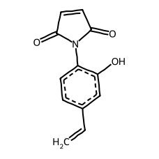 C=Cc1ccc(N2C(=O)C=CC2=O)c(O)c1